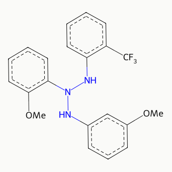 COc1cccc(NN(Nc2ccccc2C(F)(F)F)c2ccccc2OC)c1